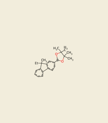 CCC1(C)c2ccccc2-c2ccc(B3OC(C)(C)C(C)(C)O3)cc21